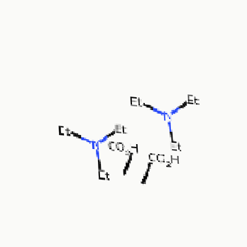 CC(=O)O.CC(=O)O.CCN(CC)CC.CCN(CC)CC